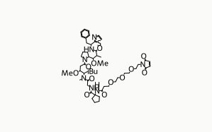 CCC(C)C(C(CC(=O)N1CCCC1C(OC)C(C)C(=O)NC(Cc1ccccc1)c1nccs1)OC)N(C)C(=O)CNC(=O)C1(NC(=O)CCOCCOCCOCCN2C(=O)C=CC2=O)CCCC1